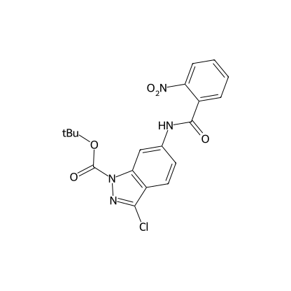 CC(C)(C)OC(=O)n1nc(Cl)c2ccc(NC(=O)c3ccccc3[N+](=O)[O-])cc21